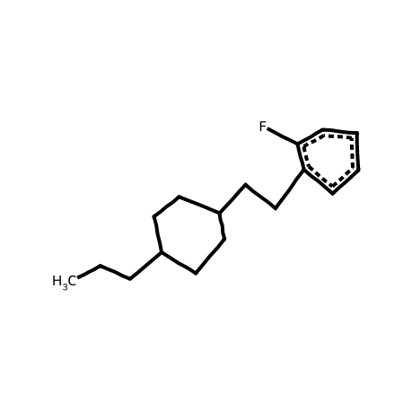 CCCC1CCC(CCc2ccccc2F)CC1